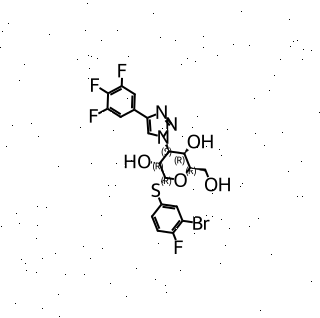 OC[C@H]1O[C@H](Sc2ccc(F)c(Br)c2)[C@H](O)[C@@H](n2cc(-c3cc(F)c(F)c(F)c3)nn2)[C@H]1O